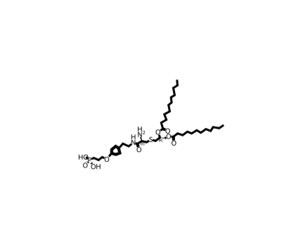 CCCCCCCCCCCC(=O)OC[C@H](CSC[C@H](N)C(=O)NCCc1ccc(OCCCP(=O)(O)O)cc1)OC(=O)CCCCCCCCCCC